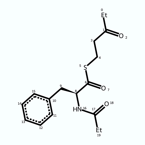 CCC(=O)CCSC(=O)[C@H](Cc1ccccc1)NC(=O)CC